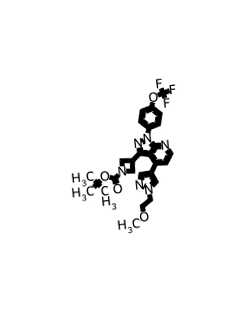 COCCn1cc(-c2ccnc3c2c(C2CN(C(=O)OC(C)(C)C)C2)nn3-c2ccc(OC(F)(F)F)cc2)cn1